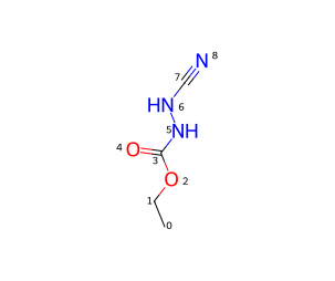 CCOC(=O)NNC#N